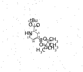 CC(C)(C)OC(=O)C1CC(B2OC(C)(C)C(C)(C)O2)=CCN1